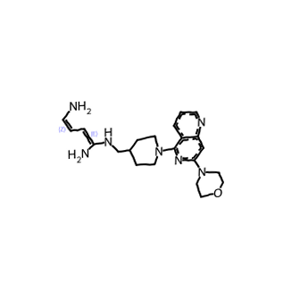 N/C=C\C=C(/N)NCC1CCN(c2nc(N3CCOCC3)cc3ncccc23)CC1